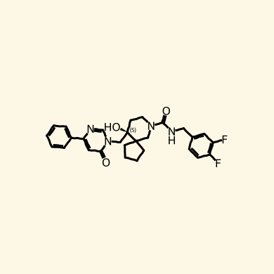 O=C(NCc1ccc(F)c(F)c1)N1CC[C@@](O)(Cn2cnc(-c3ccccc3)cc2=O)C2(CCCC2)C1